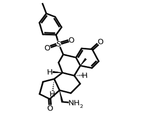 Cc1ccc(S(=O)(=O)C2C[C@H]3[C@@H]4CCC(=O)[C@@]4(CN)CC[C@@H]3[C@@]3(C)C=CC(=O)C=C23)cc1